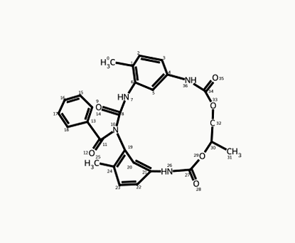 Cc1ccc2cc1NC(=O)N(C(=O)c1ccccc1)c1cc(ccc1C)NC(=O)OC(C)COC(=O)N2